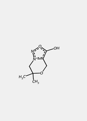 CC1(C)C[n+]2noc(O)c2CO1